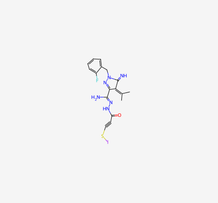 CC(C)=C1C(=N)N(Cc2ccccc2F)N=C1/C(N)=N/NC(=O)C#CSI